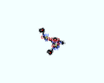 CC(C)(C)NCC(COc1ncc(C(=O)NCCC23CC4CC(CC(C4)C2)C3)s1)OC(=O)/C=C\C(=O)OC(CNC(C)(C)C)COc1ncc(C(=O)NCCC23CC4CC(CC(C4)C2)C3)s1